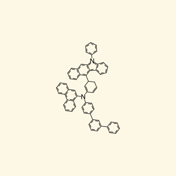 C1=CC(N(c2ccc(-c3cccc(-c4ccccc4)c3)cc2)c2cc3ccccc3c3ccccc23)=CC(c2c3ccccc3cc3c2c2ccccc2n3-c2ccccc2)C1